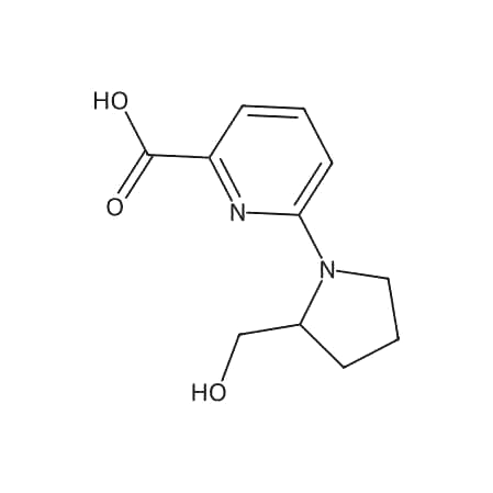 O=C(O)c1cccc(N2CCCC2CO)n1